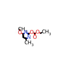 CCOC(=O)Oc1nc(C)cc(OC)n1